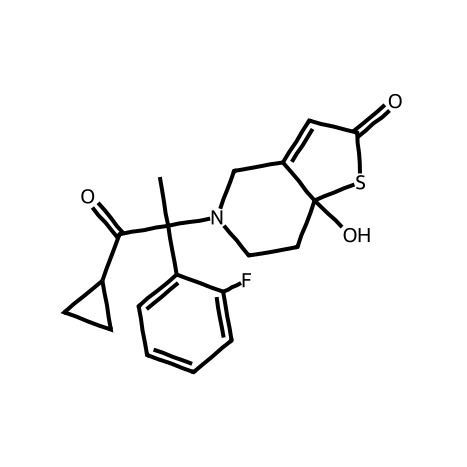 CC(C(=O)C1CC1)(c1ccccc1F)N1CCC2(O)SC(=O)C=C2C1